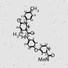 CNC(=O)c1cc(Oc2ccc(NC(=O)c3nn(-c4ccc(C)cc4)c(=O)cc3C)cc2)ccn1